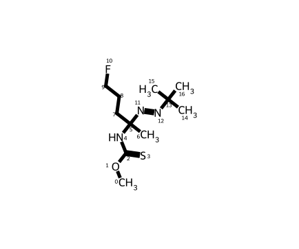 COC(=S)NC(C)(CCCF)N=NC(C)(C)C